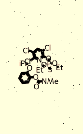 CCOP(=S)(OCC)Oc1nc(Cl)c(Cl)cc1Cl.CNC(=O)Oc1ccccc1OC(C)C